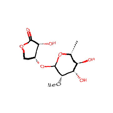 CO[C@@H]1C(O[C@@H]2COC(=O)[C@@H]2O)O[C@H](C)[C@@H](O)[C@@H]1O